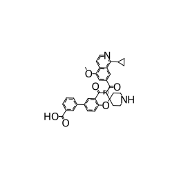 COc1cc(C(=O)[C@@H]2C(=O)c3cc(-c4cccc(C(=O)O)c4)ccc3OC23CCNCC3)cc2c(C3CC3)nccc12